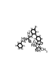 CN1C(=N)NC(C)(c2cccc(-c3cc(I)ccc3CNC(=O)NCCc3ccccc3)c2)C1=O